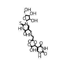 O=C(CNCc1cn([C@@H]2O[C@H](CO)[C@@H](O)[C@H]2O)c(=S)[nH]c1=O)OC(C(=O)O)c1c[nH]c(=O)[nH]c1=O